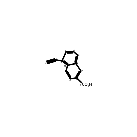 C#Cc1cccc2cc(C(=O)O)ccc12